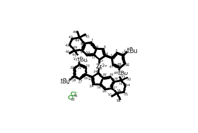 CC(C)(C)c1cc(C2=Cc3cc4c(cc3[CH]2[Zr+2][CH]2C(c3cc(C(C)(C)C)cc(C(C)(C)C)c3)=Cc3cc5c(cc32)C(C)(C)CCC5(C)C)C(C)(C)CCC4(C)C)cc(C(C)(C)C)c1.[Cl-].[Cl-]